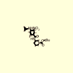 CC(C)(C)OC(=O)N1CCCC(NC(=O)c2cc([N+](=O)[O-])c(NC3CC3)cc2F)C1